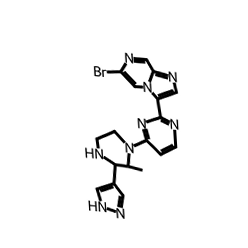 CC1C(c2cn[nH]c2)NCCN1c1ccnc(-c2cnc3cnc(Br)cn23)n1